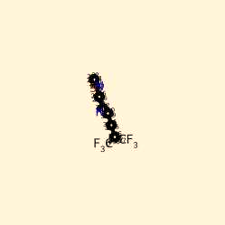 FC(F)(F)c1cc(-c2ccc(-c3ccc4cc(-c5ccc(-c6nc7ccccc7s6)cc5)cnc4c3)cc2)cc(C(F)(F)F)c1